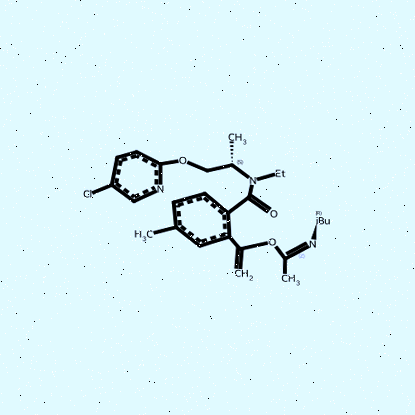 C=C(O/C(C)=N\[C@H](C)CC)c1cc(C)ccc1C(=O)N(CC)[C@@H](C)COc1ccc(Cl)cn1